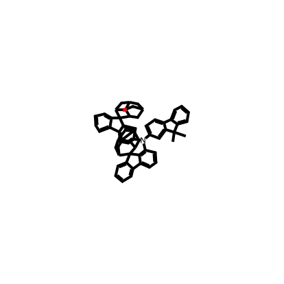 CC1(C)c2ccccc2-c2ccc(N(c3ccc4c(c3)C3(c5ccccc5-4)C4CCC5CC(C4)CC3C5)c3cccc4c3C3(c5ccccc5-4)C4CCC5CC(C4)CC3C5)cc21